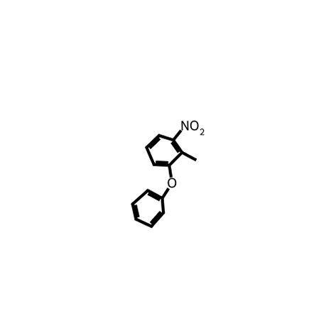 Cc1c(Oc2ccccc2)cccc1[N+](=O)[O-]